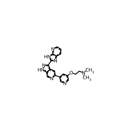 CN(C)CCOc1cncc(-c2cc3c(-c4nc5cccnc5[nH]4)n[nH]c3cn2)c1